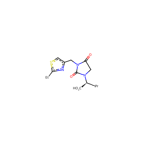 CCc1nc(CN2C(=O)CN([C@H](C(=O)O)C(C)C)C2=O)cs1